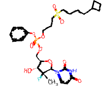 C[C@]1(F)C(n2ccc(=O)[nH]c2=O)O[C@H](COP(=O)(OCCCS(=O)(=O)CCCCC2CCC2)Oc2ccccc2)[C@H]1O